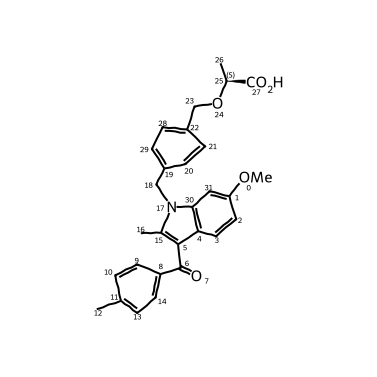 COc1ccc2c(C(=O)c3ccc(C)cc3)c(C)n(Cc3ccc(CO[C@@H](C)C(=O)O)cc3)c2c1